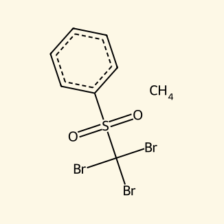 C.O=S(=O)(c1ccccc1)C(Br)(Br)Br